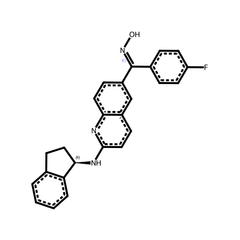 O/N=C(\c1ccc(F)cc1)c1ccc2nc(N[C@@H]3CCc4ccccc43)ccc2c1